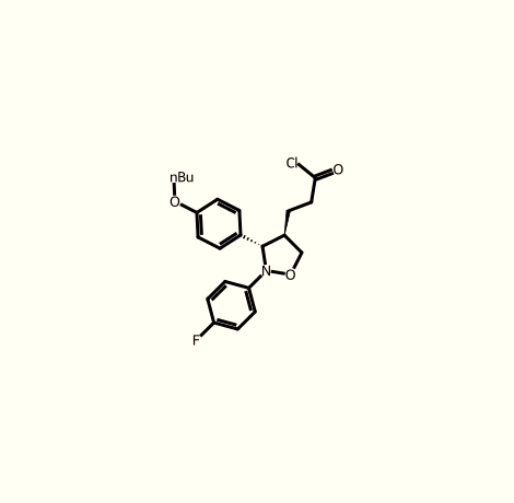 CCCCOc1ccc([C@@H]2[C@@H](CCC(=O)Cl)CON2c2ccc(F)cc2)cc1